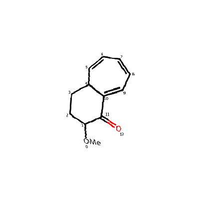 COC1CCC2C=CC=CC=C2C1=O